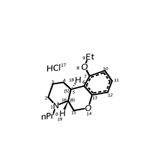 CCCN1CCC[C@H]2c3c(OCC)cccc3OC[C@@H]21.Cl